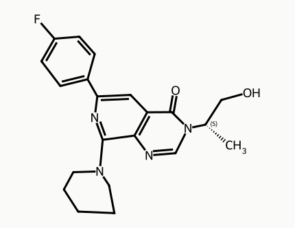 C[C@@H](CO)n1cnc2c(N3CCCCC3)nc(-c3ccc(F)cc3)cc2c1=O